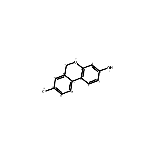 Oc1ccc2c(c1)OCc1cc(Cl)ccc1-2